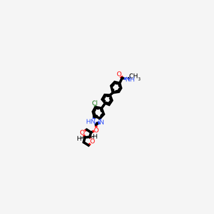 CNC(=O)c1ccc(-c2ccc(-c3cc4nc(OC5CO[C@@H]6CCO[C@H]56)[nH]c4cc3Cl)cc2)cc1